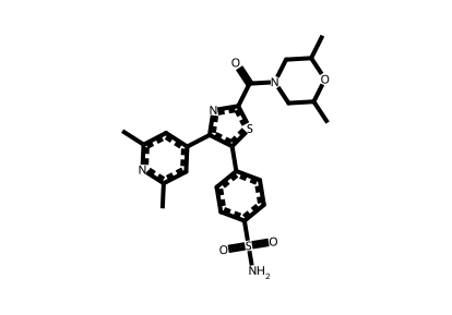 Cc1cc(-c2nc(C(=O)N3CC(C)OC(C)C3)sc2-c2ccc(S(N)(=O)=O)cc2)cc(C)n1